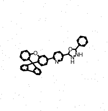 c1ccc(C2NNC(c3ccc(-c4ccc5c(c4)Oc4ccccc4C54c5ccccc5-c5ccccc54)nc3)O2)cc1